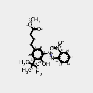 COC(=O)CCCc1cc(/N=N/c2ccccc2[N+](=O)[O-])c(O)c(C(C)(C)C)c1